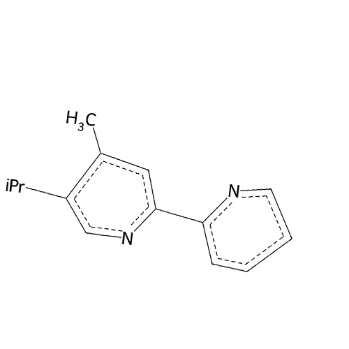 Cc1cc(-c2ccccn2)ncc1C(C)C